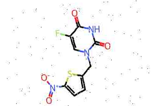 O=c1[nH]c(=O)n(Cc2ccc([N+](=O)[O-])s2)cc1F